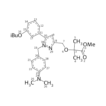 COC(=O)C(C)(C)OCc1cc(-c2cccc(OCC(C)C)c2)n(Cc2ccc(N(C)C)cc2)n1